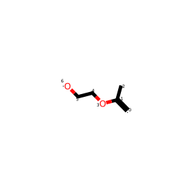 [CH]=C(C)OCC[O]